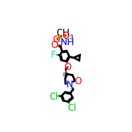 CS(=O)(=O)NC(=O)c1cc(C2CC2)c(OC[C@@H]2CCN(Cc3cc(Cl)cc(Cl)c3)C(=O)C2)cc1F